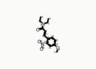 CCN(CC)C(=O)/C=C/c1ccc(OC)cc1[N+](=O)[O-]